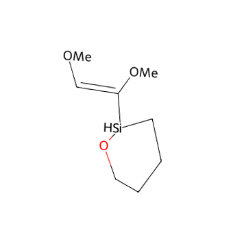 COC=C(OC)[SiH]1CCCCO1